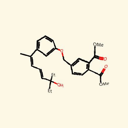 CCC(O)(/C=C/C=C(/C)c1cccc(OCc2ccc(C(=O)OC)c(C(=O)OC)c2)c1)CC